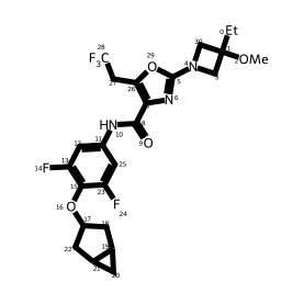 CCC1(OC)CN(c2nc(C(=O)Nc3cc(F)c(OC4CC5CC5C4)c(F)c3)c(CC(F)(F)F)o2)C1